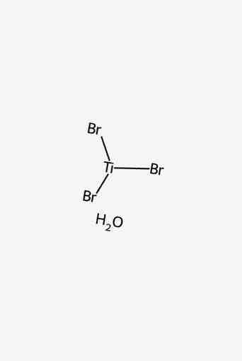 O.[Br][Ti]([Br])[Br]